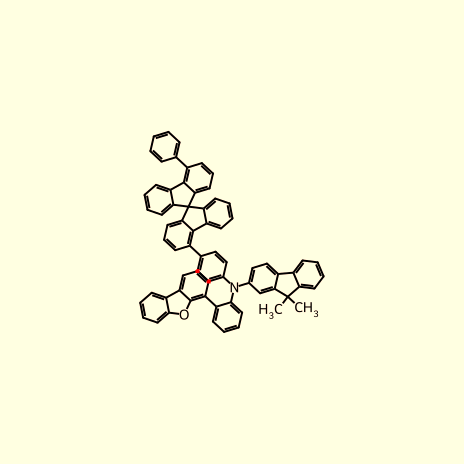 CC1(C)c2ccccc2-c2ccc(N(c3ccc(-c4cccc5c4-c4ccccc4C54c5ccccc5-c5c(-c6ccccc6)cccc54)cc3)c3ccccc3-c3cccc4c3oc3ccccc34)cc21